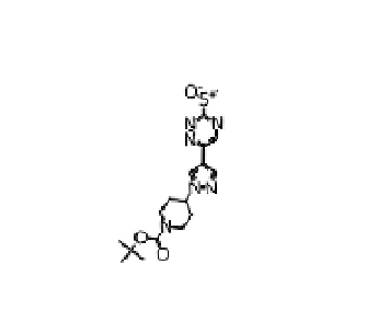 C[S+]([O-])c1ncc(-c2cnn(C3CCN(C(=O)OC(C)(C)C)CC3)c2)nn1